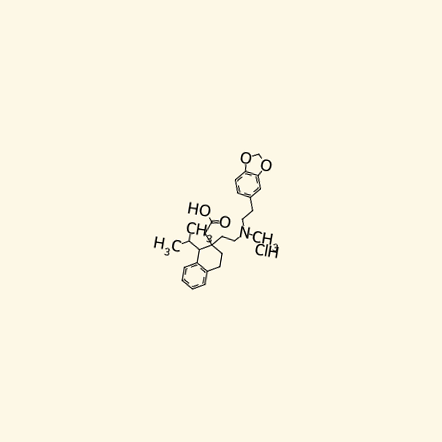 CC(C)C1c2ccccc2CCC1(CCN(C)CCc1ccc2c(c1)OCO2)CC(=O)O.Cl